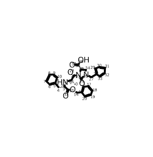 C[C@H](N[C@@H](Cc1ccccc1)C(=O)OCc1ccccc1)C(=O)N1C(=O)N(Cc2ccccc2)C[C@H]1C(=O)O